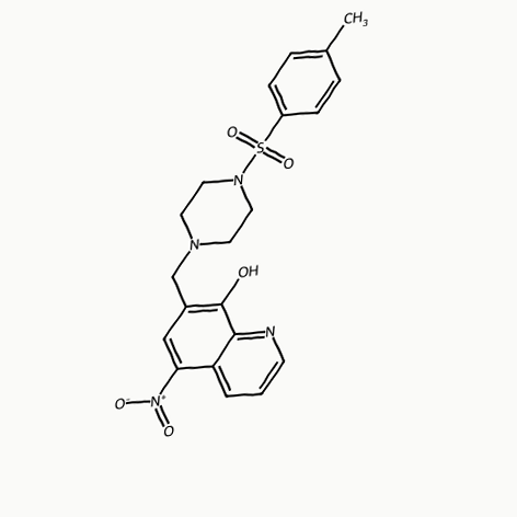 Cc1ccc(S(=O)(=O)N2CCN(Cc3cc([N+](=O)[O-])c4cccnc4c3O)CC2)cc1